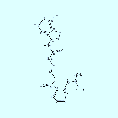 CC(C)Sc1ccccc1C(=O)OCCNC(=S)NC1CCc2c(F)cccc21